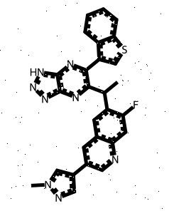 CC(c1cc2cc(-c3cnn(C)c3)cnc2cc1F)c1nc2nn[nH]c2nc1-c1csc2ccccc12